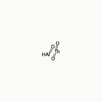 [O]=[AlH].[O]=[Th]=[O]